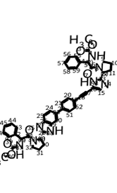 COC(=O)N[C@@H](C(=O)N1CCC[C@H]1c1ncc(C#Cc2ccc(-c3ccc4nc([C@@H]5CCCN5C(=O)[C@H](NC(=O)OC)c5ccccc5)[nH]c4c3)cc2)[nH]1)c1ccccc1